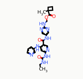 CCNC(=O)Nc1cc(Nc2cccnc2)c(C(=O)Nc2cnc(NCOC(=O)C3(C)CCC3)nc2)cn1